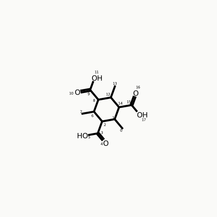 CC1C(C(=O)O)C(C)C(C(=O)O)C(C)C1C(=O)O